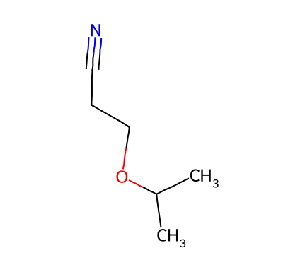 CC(C)OCCC#N